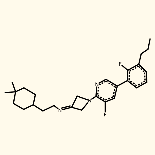 CCCc1cccc(-c2cnc(N3CC(=NCCC4CCC(C)(C)CC4)C3)c(F)c2)c1F